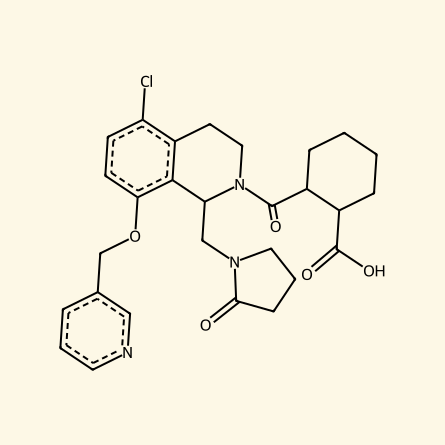 O=C(O)C1CCCCC1C(=O)N1CCc2c(Cl)ccc(OCc3cccnc3)c2C1CN1CCCC1=O